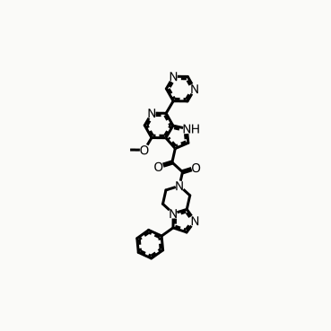 COc1cnc(-c2cncnc2)c2[nH]cc(C(=O)C(=O)N3CCn4c(-c5ccccc5)cnc4C3)c12